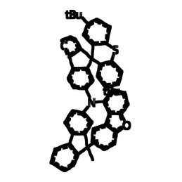 CC(C)(C)c1ccc2c(c1)C1(c3cc(C(C)(C)C)ccc3S2)c2ccccc2-c2ccc(N(c3ccc4c(c3)C(C)(C)c3ccccc3-4)c3cccc4oc5ccccc5c34)cc21